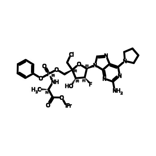 CC(C)OC(=O)[C@H](C)N[P@@](=O)(OC[C@@]1(CCl)O[C@@H](n2cnc3c(N4CCCC4)nc(N)nc32)[C@H](F)[C@@H]1O)Oc1ccccc1